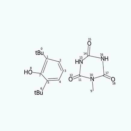 CC(C)(C)c1cccc(C(C)(C)C)c1O.Cn1c(=O)[nH]c(=O)[nH]c1=O